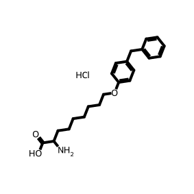 Cl.NC(CCCCCCCOc1ccc(Cc2ccccc2)cc1)C(=O)O